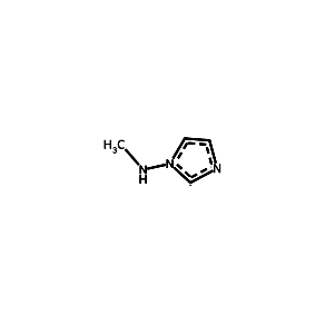 CNn1[c]ncc1